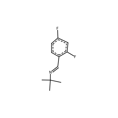 CC(C)(C)/N=C/c1ccc(F)cc1F